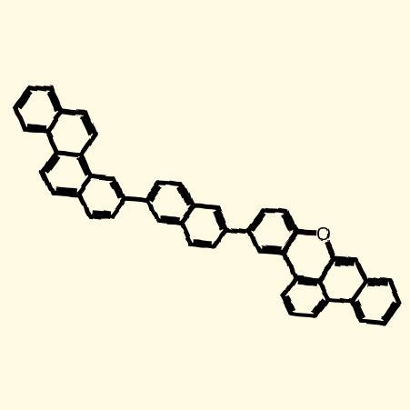 c1ccc2c(c1)cc1c3c(cccc32)-c2cc(-c3ccc4cc(-c5ccc6ccc7c8ccccc8ccc7c6c5)ccc4c3)ccc2O1